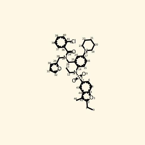 CCc1oc2ccc(S(=O)(=O)N(CC)c3ccc(N4CCCCC4)cc3CN(Cc3ccco3)C(=O)c3ccccc3Cl)cc2c1C